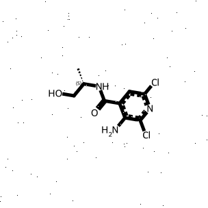 C[C@@H](CO)NC(=O)c1cc(Cl)nc(Cl)c1N